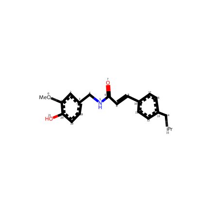 COc1cc(CNC(=O)C=Cc2ccc(CC(C)C)cc2)ccc1O